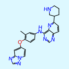 Cc1cc(Nc2ncnc3ccc(C4CCCNC4)nc23)ccc1Oc1ccn2ncnc2c1